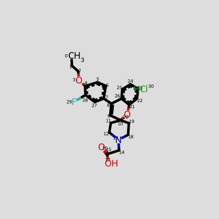 CCCOc1ccc(C2=CC3(CCN(CC(=O)O)CC3)Oc3ccccc32)cc1F.Cl